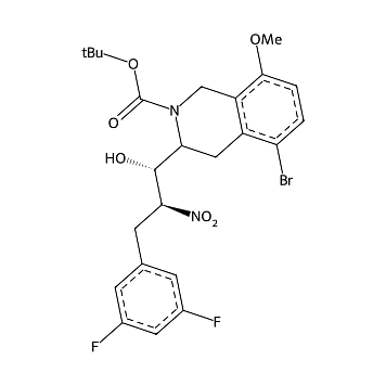 COc1ccc(Br)c2c1CN(C(=O)OC(C)(C)C)C([C@@H](O)[C@H](Cc1cc(F)cc(F)c1)[N+](=O)[O-])C2